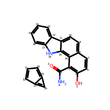 NC(=O)c1c(O)ccc2ccc3c4ccccc4[nH]c3c12.c1cc2cc-2c1